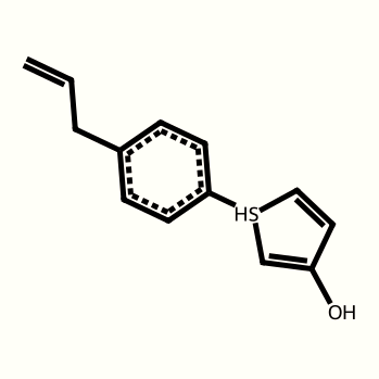 C=CCc1ccc([SH]2C=CC(O)=C2)cc1